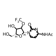 CC(=O)Nc1ccn([C@@H]2O[C@H](CO)C(O)C2OC(F)(F)F)c(=O)n1